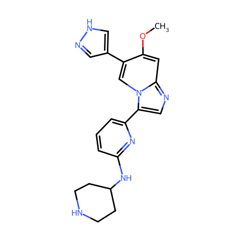 COc1cc2ncc(-c3cccc(NC4CCNCC4)n3)n2cc1-c1cn[nH]c1